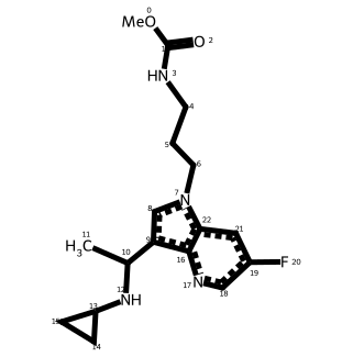 COC(=O)NCCCn1cc(C(C)NC2CC2)c2ncc(F)cc21